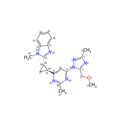 COCc1nc(C)nn1-c1cc([C@H]2C[C@@H]2c2nc3ccccc3n2C)nc(C)n1